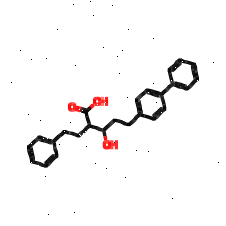 O=C(O)C(CCc1ccccc1)C(O)CCc1ccc(-c2ccccc2)cc1